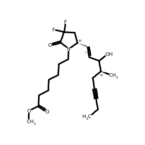 CCC#CC[C@H](C)C(O)/C=C/[C@H]1CC(F)(F)C(=O)N1CCCCCCC(=O)OC